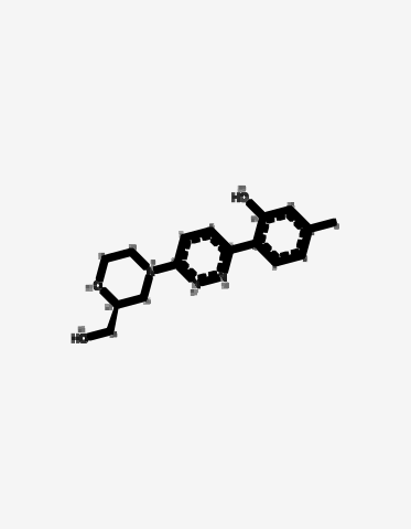 Cc1ccc(-c2ccc(N3CCO[C@H](CO)C3)nn2)c(O)c1